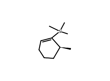 C[C@H]1CCCC=C1[Si](C)(C)C